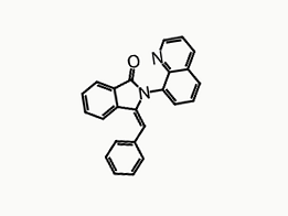 O=C1c2ccccc2C(=Cc2ccccc2)N1c1cccc2cccnc12